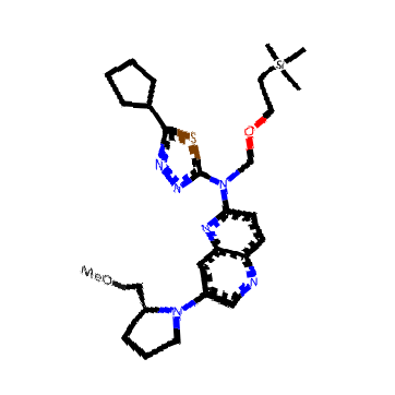 COC[C@@H]1CCCN1c1cnc2ccc(N(COCC[Si](C)(C)C)c3nnc(C4CCCC4)s3)nc2c1